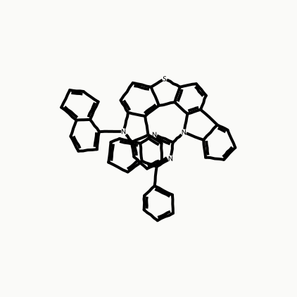 c1ccc(-c2nc(-n3c4ccccc4c4ccc5sc6ccc7c(c8ccccc8n7-c7cccc8ccccc78)c6c5c43)nc3ccccc23)cc1